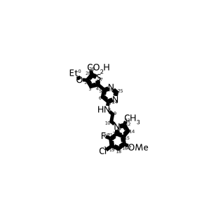 CCOc1cc(-c2cc(NCCn3c(C)cc4c(OC)cc(Cl)c(F)c43)ncn2)sc1C(=O)O